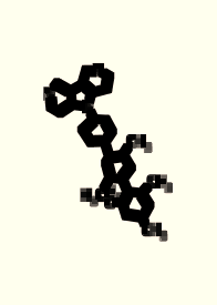 Cc1cc(C)c(-c2cc(C)c(-c3ccc(-n4c5ccncc5c5cnccc54)cc3)cc2C)c(C)c1